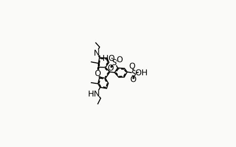 CC/N=c1\ccc2c(-c3ccc(S(=O)(=O)O)cc3S(=O)(=O)O)c3ccc(NCC)c(C)c3oc-2c1C